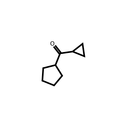 O=C(C1CCCC1)C1CC1